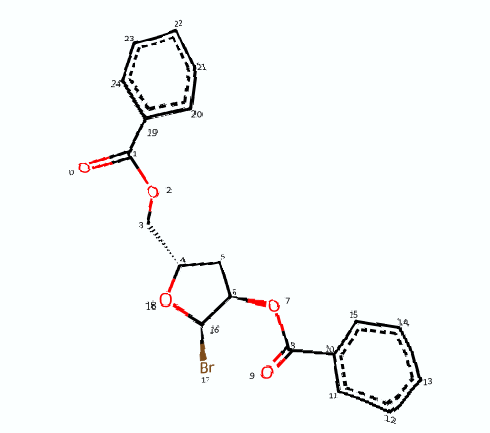 O=C(OC[C@@H]1C[C@@H](OC(=O)c2ccccc2)[C@@H](Br)O1)c1ccccc1